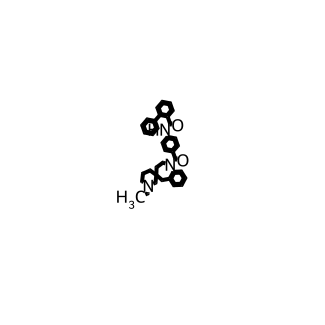 CCN1CCCC2(CCN(C(=O)c3ccc(NC(=O)c4ccccc4-c4ccccc4)cc3)c3ccccc3C2)C1